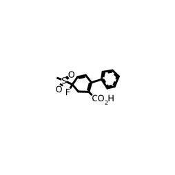 CS(=O)(=O)C1(F)C=CC(c2ccccc2)=C(C(=O)O)C1